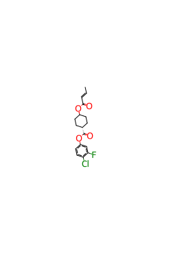 CC=CC(=O)O[C@H]1CC[C@H](C(=O)Oc2ccc(Cl)c(F)c2)CC1